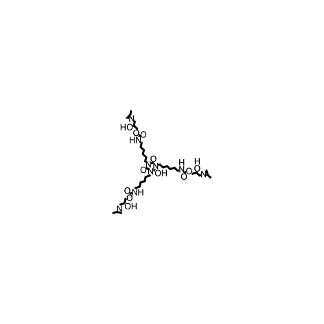 CC1CN1CC(O)COC(=O)NCCCCCCN1C(=O)N(CCCCCCNC(=O)OCC(O)CN2CC2C)C(O)N(CCCCCCNC(=O)OCC(O)CN2CC2C)C1=O